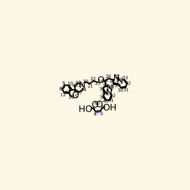 O=C(O)/C=C\C(=O)O.c1ccc2c(c1)COC21CCN(CCCCOC(Cc2cc3ccccn3n2)c2cc3ccccn3n2)CC1